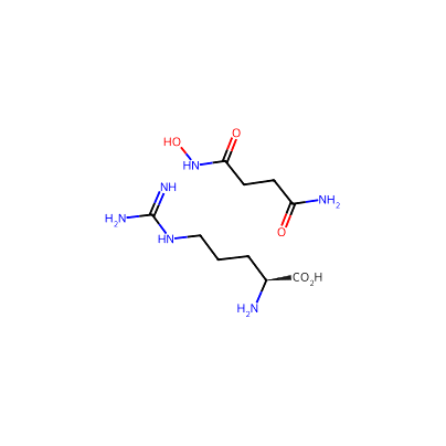 N=C(N)NCCC[C@H](N)C(=O)O.NC(=O)CCC(=O)NO